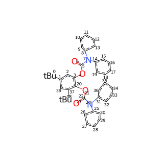 CC(C)(C)c1cc(OC(=O)N(c2ccccc2)c2ccccc2)c(OC(=O)N(c2ccccc2)c2ccccc2)c(C(C)(C)C)c1